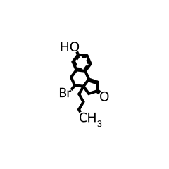 CCCCC12CC(=O)C=C1c1ccc(O)cc1CC2Br